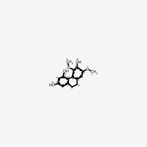 COc1cc2c(c(OC)c1O)-c1c(O)cc(O)cc1CC2